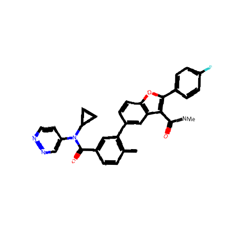 CNC(=O)c1c(-c2ccc(F)cc2)oc2ccc(-c3cc(C(=O)N(c4ccnnc4)C4CC4)ccc3C)cc12